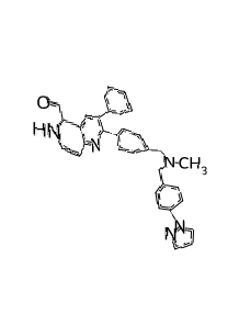 CN(Cc1ccc(-c2nc3c(cc2-c2ccccc2)C(C=O)NC=C3)cc1)Cc1ccc(-n2cccn2)cc1